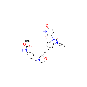 Cn1c(=O)n(C2CCC(=O)NC2=O)c2ccc(CC[C@H]3CN(CC4CCC(NC(=O)OC(C)(C)C)CC4)CCO3)cc21